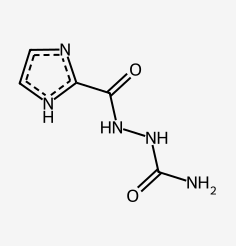 NC(=O)NNC(=O)c1ncc[nH]1